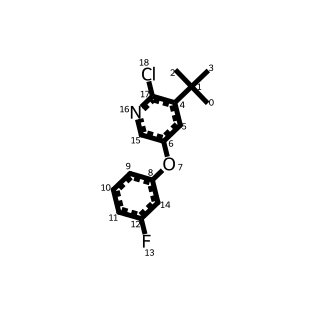 CC(C)(C)c1cc(Oc2cccc(F)c2)cnc1Cl